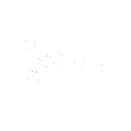 COCc1cccc(Cc2nc3c(Cc4ccccc4)[nH]c(-c4cccc(O)c4)cn-3c2=O)c1